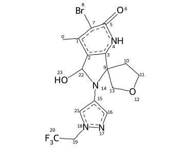 Cc1c2c([nH]c(=O)c1Br)C1(CCOC1)N(c1cnn(CC(F)(F)F)c1)C2O